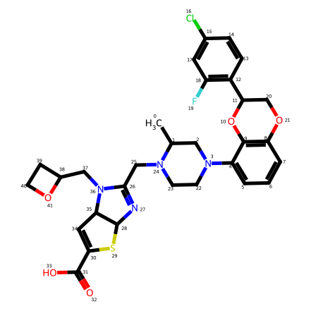 CC1CN(c2cccc3c2OC(c2ccc(Cl)cc2F)CO3)CCN1CC1=NC2SC(C(=O)O)=CC2N1CC1CCO1